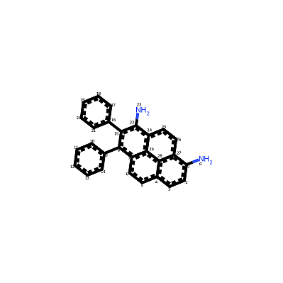 Nc1ccc2ccc3c(-c4ccccc4)c(-c4ccccc4)c(N)c4ccc1c2c43